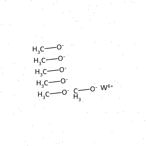 C[O-].C[O-].C[O-].C[O-].C[O-].C[O-].[W+6]